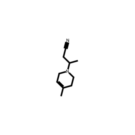 CC1=CCN(C(C)CC#N)CC1